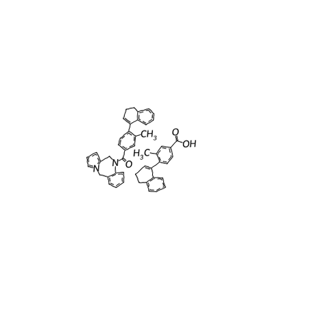 Cc1cc(C(=O)N2Cc3cccn3Cc3ccccc32)ccc1C1=CCCc2ccccc21.Cc1cc(C(=O)O)ccc1C1=CCCc2ccccc21